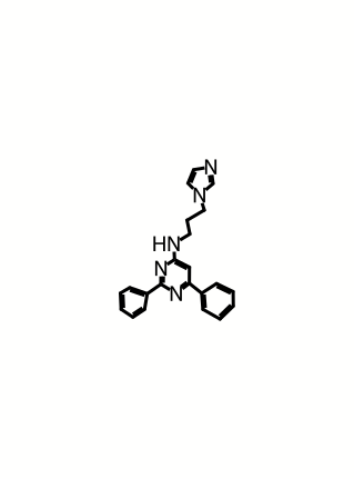 c1ccc(-c2cc(NCCCn3ccnc3)nc(-c3ccccc3)n2)cc1